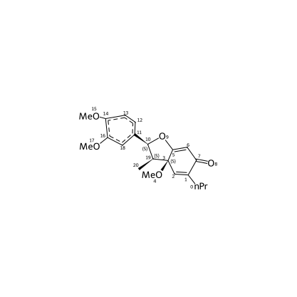 CCCC1=C[C@@]2(OC)C(=CC1=O)O[C@H](c1ccc(OC)c(OC)c1)[C@@H]2C